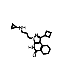 O=c1[nH]c2c(c(C3CCC3)nn2CCCNC2CC2)c2c1CCCC2